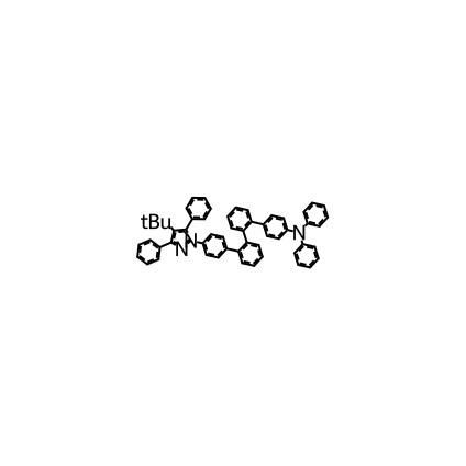 CC(C)(C)c1c(-c2ccccc2)nn(-c2ccc(-c3ccccc3-c3ccccc3-c3ccc(N(c4ccccc4)c4ccccc4)cc3)cc2)c1-c1ccccc1